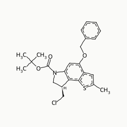 Cc1cc2c(OCc3ccccc3)cc3c(c2s1)[C@@H](CCl)CN3C(=O)OC(C)(C)C